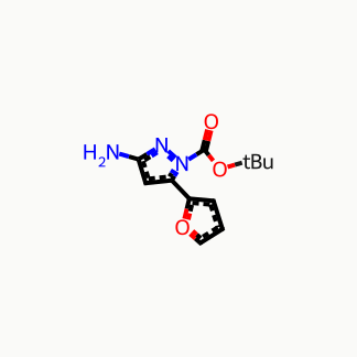 CC(C)(C)OC(=O)n1nc(N)cc1-c1ccco1